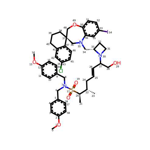 COc1ccc(CN(Cc2ccc(OC)cc2)S(=O)(=O)[C@H](C)[C@@H](C)C/C=C/C(CO)N2CC[C@H]2CN2C[C@@]3(CCCc4cc(Cl)ccc43)COc3ccc(I)cc32)cc1